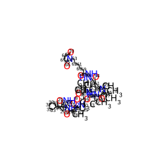 CC[C@H](C)[C@@H]([C@@H](CC(=O)N1CCC[C@H]1[C@H](OC)[C@@H](C)C(=O)N[C@@]1(C(N)=O)C[C@@H]1c1ccccc1)OC)N(C)C(=O)[C@@H](NC(=O)[C@H](C(C)C)N(C)CCCC(=O)NNC(=O)CCCCCN1C(=O)C=CC1=O)C(C)C